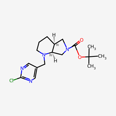 CC(C)(C)OC(=O)N1C[C@@H]2CCCN(Cc3cnc(Cl)nc3)[C@@H]2C1